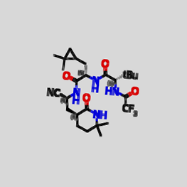 CC1(C)CC[C@@H](C[C@@H](C#N)NC(=O)[C@H](CC2CC2(C)C)NC(=O)[C@@H](NC(=O)C(F)(F)F)C(C)(C)C)C(=O)N1